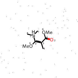 COC(=O)C(C)=C(OC)[SiH](C)C